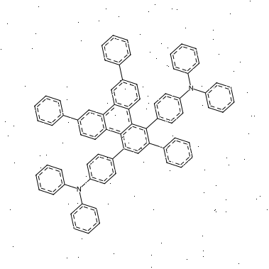 c1ccc(-c2ccc3c(c2)c2cc(-c4ccccc4)ccc2c2c(-c4ccc(N(c5ccccc5)c5ccccc5)cc4)c(-c4ccccc4)cc(-c4ccc(N(c5ccccc5)c5ccccc5)cc4)c32)cc1